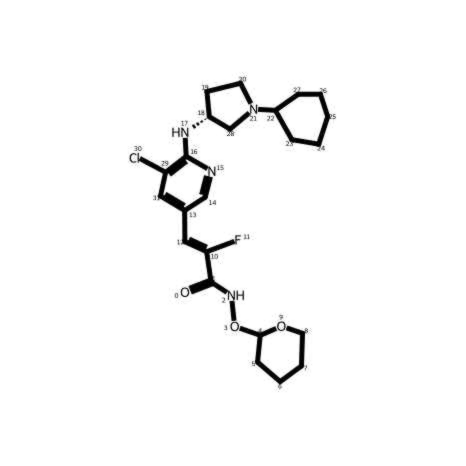 O=C(NOC1CCCCO1)/C(F)=C/c1cnc(N[C@@H]2CCN(C3CCCCC3)C2)c(Cl)c1